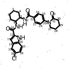 O=C(NC1CCCCC1NC(=O)c1cc2cc(Cl)ccc2[nH]1)c1ccc(N2CCCCC2=O)cc1